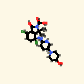 CC1(C)C2=C(C(=O)N1C(=O)O)C(Cl)=CCC2(Cl)Nc1ccc(N2CCC(O)CC2)cn1